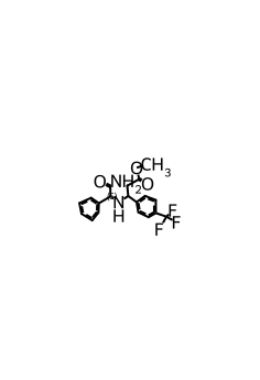 COC(=O)CC(N[C@H](C(N)=O)c1ccccc1)c1ccc(C(F)(F)F)cc1